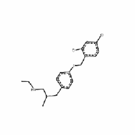 CCNCC(C)Cc1ccc(SCc2ccc(Cl)cc2Cl)cc1